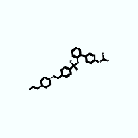 CCC[C@H]1CC[C@H](CCc2ccc(C(F)(F)Oc3ccccc3-c3ccc(OC(F)F)cc3)cc2)CC1